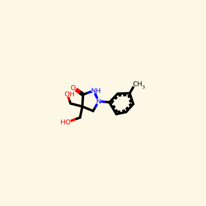 Cc1cccc(N2CC(CO)(CO)C(=O)N2)c1